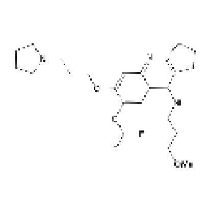 COCCCNc1c2c(nc3cc(OCCCN4CCCC4)c(OC(F)F)cc13)CCC2